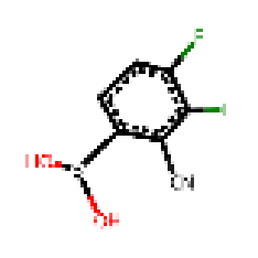 N#Cc1c(B(O)O)ccc(F)c1F